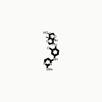 CSc1nccc(Nc2ccc(O[C@H]3CO[C@@]4(C)[C@@H]3OC[C@@H]4O)c(Cl)c2)n1